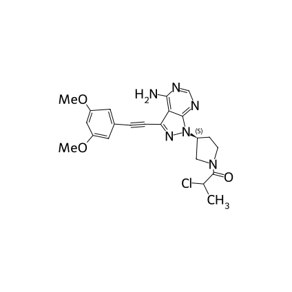 COc1cc(C#Cc2nn([C@H]3CCN(C(=O)C(C)Cl)C3)c3ncnc(N)c23)cc(OC)c1